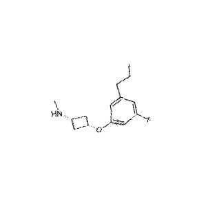 CCCc1cc(F)cc(O[C@H]2C[C@@H](NC)C2)c1